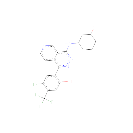 Oc1cc(C(F)(F)F)c(F)cc1-c1nnc(NC2CCCC(O)C2)c2cnccc12